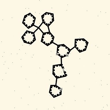 c1ccc(-c2cc(-c3ccc4c(c3)-c3ccccc3C4(c3ccccc3)c3ccccc3)nc(-c3ccc(-c4ccccn4)cc3)n2)cc1